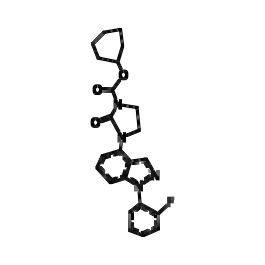 O=C(OC1CCCCC1)N1CCN(c2cccc3c2cnn3-c2ccccc2F)C1=O